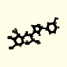 [C-]#[N+]c1ccc(N[C@@H](c2nnc(-c3cccc(F)c3)o2)C(C)O)c(C)c1Cl